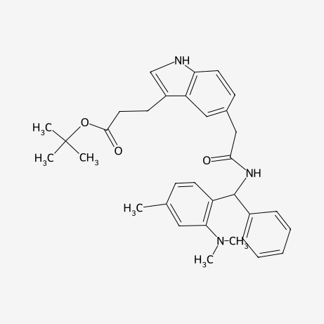 Cc1ccc(C(NC(=O)Cc2ccc3[nH]cc(CCC(=O)OC(C)(C)C)c3c2)c2ccccc2)c(N(C)C)c1